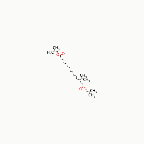 CC(C)COC(=O)CCCCCCCCCCCC(CCC(=O)OCC(C)C)C(C)C